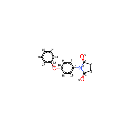 O=C1CCC(=O)N1c1ccc(Oc2ccccc2)cc1